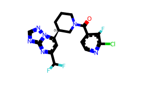 O=C(c1ccnc(Cl)c1F)N1CCC[C@H](c2cc(C(F)F)nc3ncnn23)C1